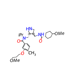 COCCCOc1cc(C(=O)N(C[C@@H]2CNC[C@H]2CNC(=O)[C@H]2CC[C@H](OC)CC2)C(C)C)ccc1C